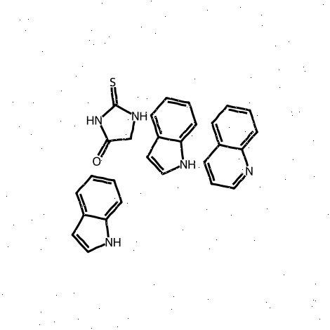 O=C1CNC(=S)N1.c1ccc2[nH]ccc2c1.c1ccc2[nH]ccc2c1.c1ccc2ncccc2c1